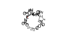 CC(C)N[C@]12CCN(C1)C(=O)OCC=CCOC(=O)N1CC(C(=O)C(C)C)(C1)NCC2=O